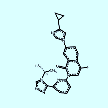 C[C@H](n1cnnc1-c1cccc(-n2cc(F)c3ccc(-n4cnc(C5CC5)c4)cc3c2=O)n1)C(F)(F)F